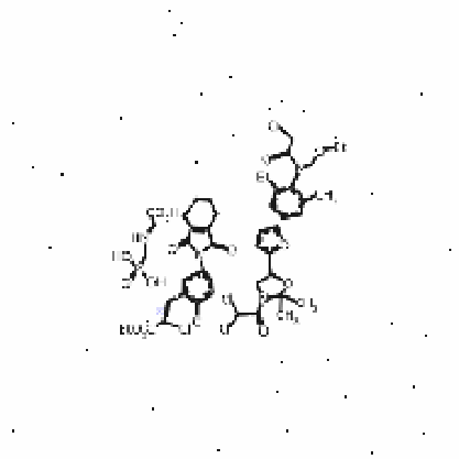 CC1(C)OC(c2ccco2)CN1C(=O)C(Cl)Cl.CCOC(=O)/C(Cl)=C/c1cc(N2C(=O)C3=C(CCCC3)C2=O)ccc1Cl.CCOCN(C(=O)CCl)c1c(C)cccc1CC.O=C(O)CNCP(=O)(O)O